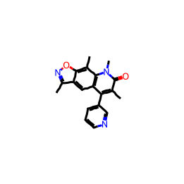 Cc1c(-c2cccnc2)c2cc3c(C)noc3c(C)c2n(C)c1=O